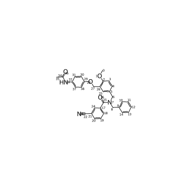 COc1ccc(CN(Cc2ccccc2)C(=O)c2cccc(C#N)c2)cc1COc1ccc(NC(C)=O)cc1